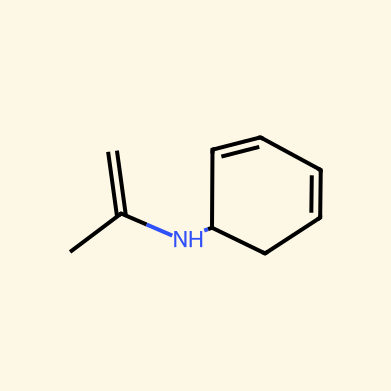 C=C(C)NC1C=CC=CC1